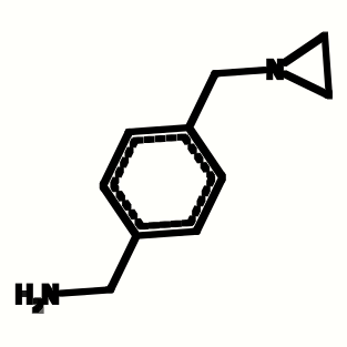 NCc1ccc(CN2CC2)cc1